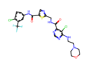 O=C(Nc1ccc(Cl)c(C(F)(F)F)c1)c1cnc(CNC(=O)c2ncnc(NCCN3CCOCC3)c2Cl)s1